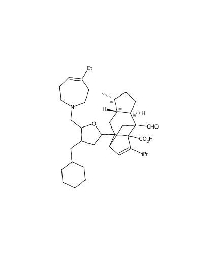 CCC1=CCCN(CC2OC(C34C[C@@H]5[C@H](C)CC[C@H]5C5(C=O)CC3C=C(C(C)C)C45C(=O)O)CC2CC2CCCCC2)CC1